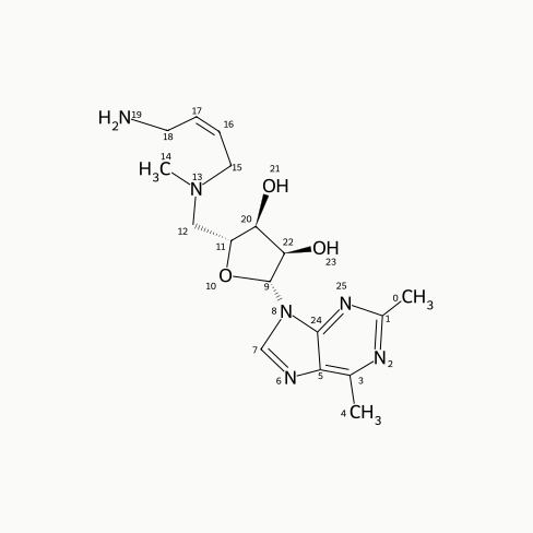 Cc1nc(C)c2ncn([C@@H]3O[C@H](CN(C)C/C=C\CN)[C@@H](O)[C@H]3O)c2n1